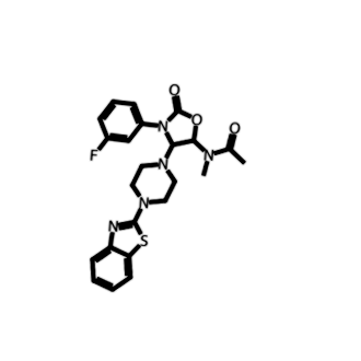 CC(=O)N(C)C1OC(=O)N(c2cccc(F)c2)C1N1CCN(c2nc3ccccc3s2)CC1